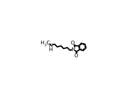 CNCCCCCCN1C(=O)c2ccccc2C1=O